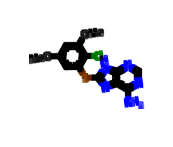 COc1cc(OC)c(Cl)c(Sc2nc3c(N)ncnc3[nH]2)c1